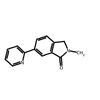 CN1Cc2ccc(-c3ccccn3)cc2C1=O